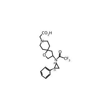 O=C(O)CN1CCC2(CC1)CC(N(C(=O)C(F)(F)F)[C@@H]1C[C@H]1c1ccccc1)CO2